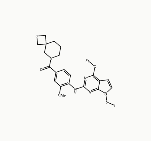 CCOc1nc(Nc2ccc(C(=O)N3CCCC4(COC4)C3)cc2OC)nc2c1ccn2SI